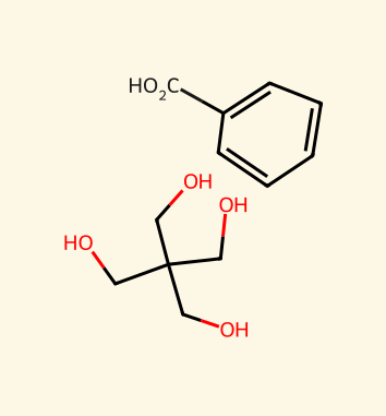 O=C(O)c1ccccc1.OCC(CO)(CO)CO